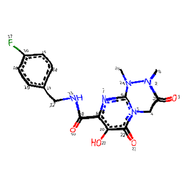 CN1C(=O)Cn2c(nc(C(=O)NCc3ccc(F)cc3)c(O)c2=O)N1C